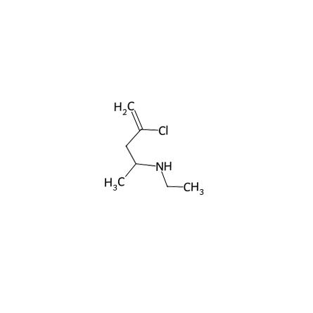 C=C(Cl)CC(C)NCC